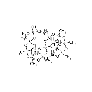 C[SiH2]O[Si](C)(C)O[Si](C)(C)O[Si](C)(C)O[Si](C)(C)O[Si](C)(C)O[Si](C)(C)O[Si](C)(C)O[Si](C)(C)O[Si](C)(C)O[Si](C)(C)C